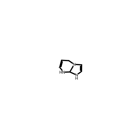 [C]1=CCN2C=CNC2N1